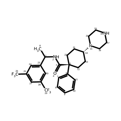 CC(NC(=O)[C@]1(c2ccccc2)CC[C@@H](N2CCNCC2)CC1)c1cc(C(F)(F)F)cc(C(F)(F)F)c1